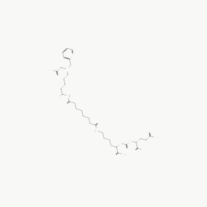 CC(CCCCN(CC(=O)O)Cc1ccccn1)NC(=O)CCCCCCC(=O)NCCCCC(NC(=O)NC(CCC(=O)O)C(=O)O)C(=O)O